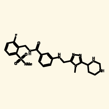 CNS(=O)(=O)c1cccc(F)c1CNC(=O)c1cccc(NCc2nnc(C3CCNCN3)n2C)c1